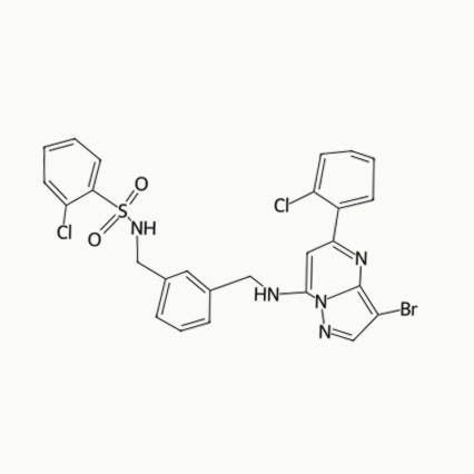 O=S(=O)(NCc1cccc(CNc2cc(-c3ccccc3Cl)nc3c(Br)cnn23)c1)c1ccccc1Cl